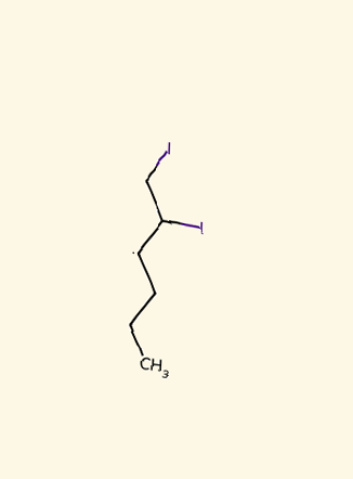 CCC[CH]C(I)CI